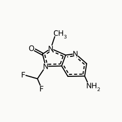 Cn1c(=O)n(C(F)F)c2cc(N)cnc21